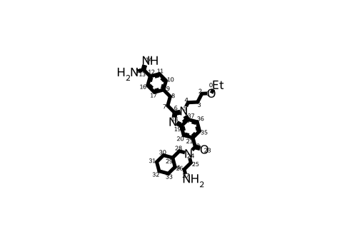 CCOCCCn1c(CCc2ccc(C(=N)N)cc2)nc2cc(C(=O)N(CCN)CC3CCCCC3)ccc21